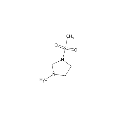 CN1CCN(S(C)(=O)=O)C1